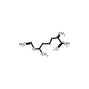 C=COC(C)CCCC(=C)C(=O)O